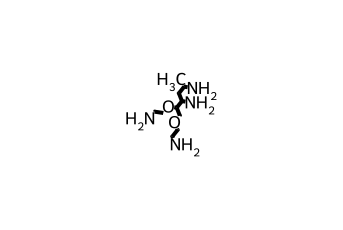 CC(N)CC(N)C(COCCN)OCCN